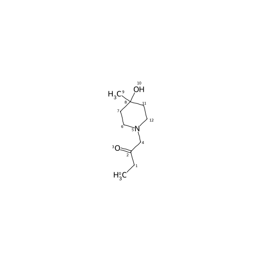 CCC(=O)CN1CCC(C)(O)CC1